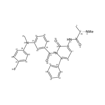 CN[C@@H](C)C(=O)Nc1ccc(-c2ccccc2)n(C(=O)c2cccc(N(C)c3ccc(F)cc3)c2)c1=O